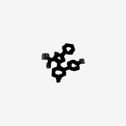 CN1CCC(c2cc(-c3ccccc3)sc2C(=O)O)=C(c2ccc(Cl)cc2)C1